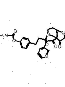 NC(=O)Oc1ccc(C[CH]C(=O)N2CCC3NCC(=O)C32C(=O)Cc2cccnc2)cc1